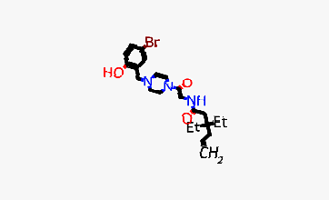 C=CCC(CC)(CC)CC(=O)NCC(=O)N1CCN(Cc2cc(Br)ccc2O)CC1